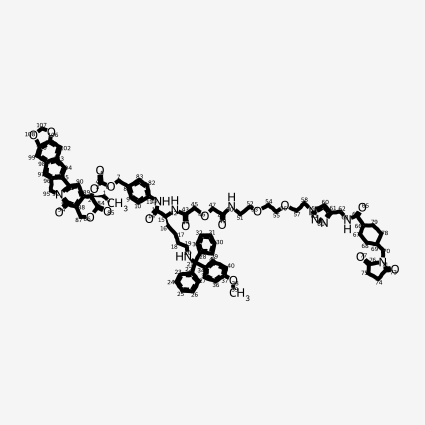 CC[C@@]1(OC(=O)OCc2ccc(NC(=O)[C@H](CCCCNC(c3ccccc3)(c3ccccc3)c3ccc(OC)cc3)NC(=O)COCC(=O)NCCOCCOCCn3cc(CNC(=O)C4CCC(CN5C(=O)CCC5=O)CC4)nn3)cc2)C(=O)OCc2c1cc1n(c2=O)Cc2cc3cc4c(cc3cc2-1)OCO4